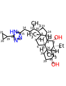 CC[C@H]1[C@@H](O)[C@@H]2[C@H](CC[C@]3(C)[C@@H]([C@H](C)CCc4nnc(C5CC5)[nH]4)CC[C@@H]23)[C@@]2(C)CC[C@@H](O)C[C@@H]12